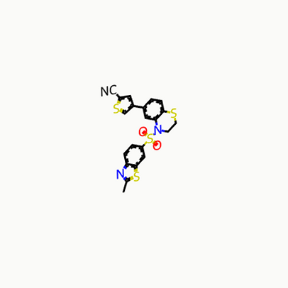 Cc1nc2ccc(S(=O)(=O)N3CCSc4ccc(-c5csc(C#N)c5)cc43)cc2s1